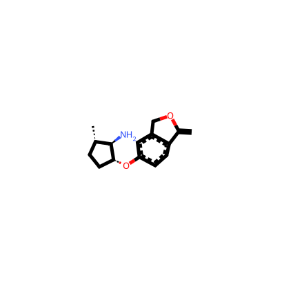 C=C1OCc2cc(O[C@@H]3CC[C@H](C)[C@H]3N)ccc21